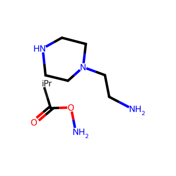 CC(C)C(=O)ON.NCCN1CCNCC1